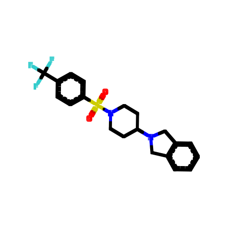 O=S(=O)(c1ccc(C(F)(F)F)cc1)N1CCC(N2Cc3ccccc3C2)CC1